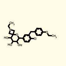 CCOc1ccc(Cc2cc(C3OC4(CN(CC)C4)C(O)C(O)C3O)ccc2Cl)cc1